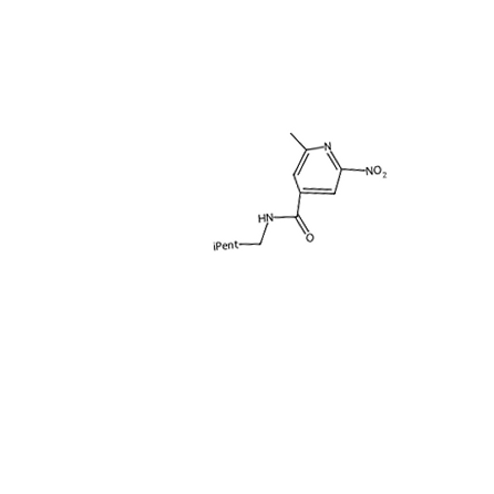 CCCC(C)CNC(=O)c1cc(C)nc([N+](=O)[O-])c1